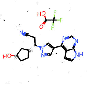 N#CCC([C@@H]1CC[C@@H](O)C1)n1cc(-c2ncnc3[nH]ccc23)cn1.O=C(O)C(F)(F)F